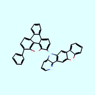 c1ccc(-c2ccc3c4ccccc4c4ccc(-n5c6cc7c(cc6c6ncccc65)oc5ccccc57)c5oc2c3c54)cc1